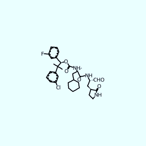 CC(C)(c1cccc(Cl)c1)[C@H](OC(=O)N[C@](C)(CC1CCCCC1)C(=O)N[C@H](C=O)C[C@@H]1CCNC1=O)c1cccc(F)c1